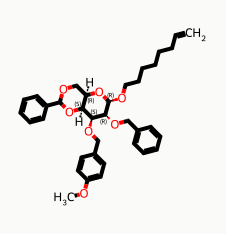 C=CCCCCCCO[C@@H]1O[C@@H]2COC(c3ccccc3)O[C@@H]2[C@H](OCc2ccc(OC)cc2)[C@H]1OCc1ccccc1